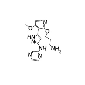 COc1ccnc(OCCCN)c1-c1cc(Nc2cnccn2)n[nH]1